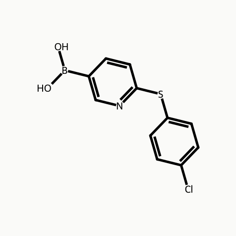 OB(O)c1ccc(Sc2ccc(Cl)cc2)nc1